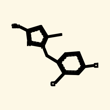 Cc1cc(C(C)(C)C)nn1Cc1ccc(Cl)cc1Cl